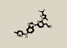 Cc1ccc(Nc2ccc3c(c2)ncn3-c2ccc(CC=O)c(-n3nc(C(F)F)cc3C)n2)nn1